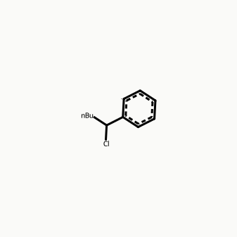 CCCCC(Cl)c1[c]cccc1